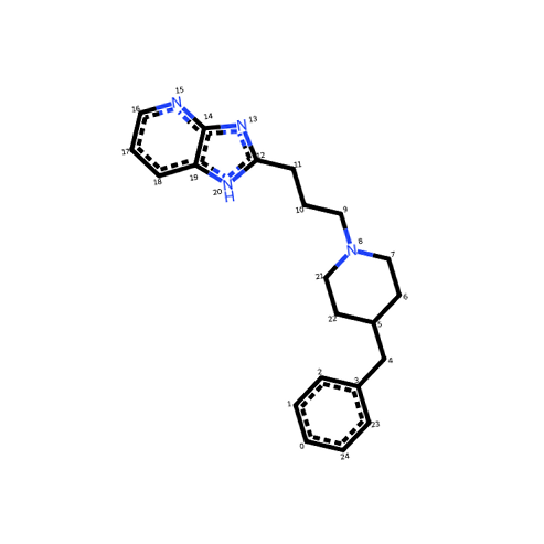 c1ccc(CC2CCN(CCCc3nc4ncccc4[nH]3)CC2)cc1